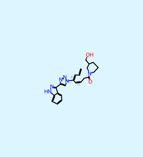 C=C/C=C(\C=C/CC(=O)N1CCCC(CO)C1)n1cc(-c2n[nH]c3ccccc23)nn1